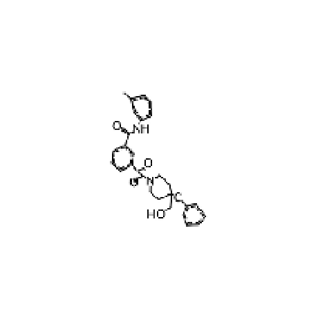 Cc1cccc(NC(=O)c2cccc(S(=O)(=O)N3CCC(CO)(Cc4ccccc4)CC3)c2)c1